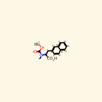 CN(C(=O)OC(C)(C)C)C(Cc1ccc2ccccc2c1)C(=O)O